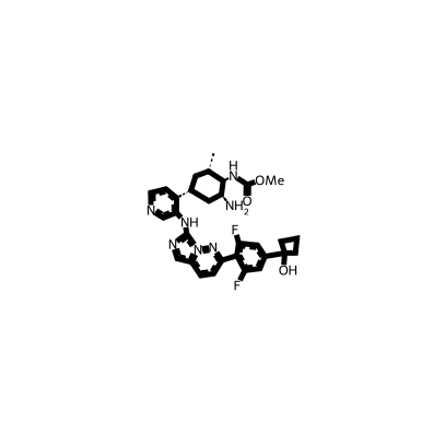 COC(=O)N[C@@H]1[C@H](N)C[C@H](c2ccncc2Nc2ncc3ccc(-c4c(F)cc(C5(O)CCC5)cc4F)nn23)C[C@@H]1C